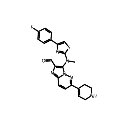 CN(c1nc(-c2ccc(F)cc2)cs1)c1c(C=O)nc2ccc(C3=CCNCC3)nn12